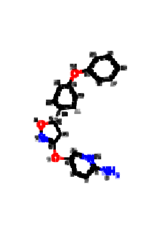 Nc1ccc(OC2=NO[C@H](c3ccc(Oc4ccccc4)cc3)C2)cn1